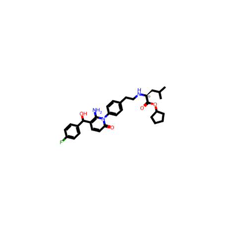 CC(C)C[C@H](NCCc1ccc(-n2c(N)c(C(O)c3ccc(F)cc3)ccc2=O)cc1)C(=O)OC1CCCC1